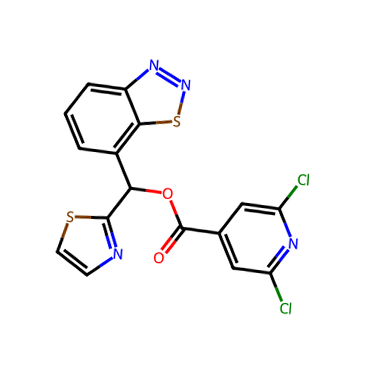 O=C(OC(c1nccs1)c1cccc2nnsc12)c1cc(Cl)nc(Cl)c1